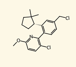 COc1ccc(Cl)c(-c2ccc(CCl)cc2[C@@H]2CCCC2(C)C)n1